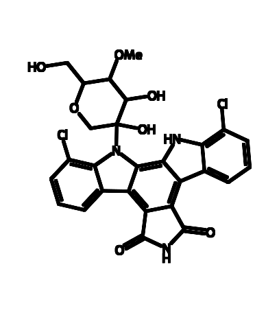 COC1C(CO)OCC(O)(n2c3c(Cl)cccc3c3c4c(c5c6cccc(Cl)c6[nH]c5c32)C(=O)NC4=O)C1O